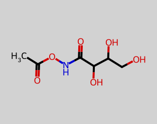 CC(=O)ONC(=O)C(O)C(O)CO